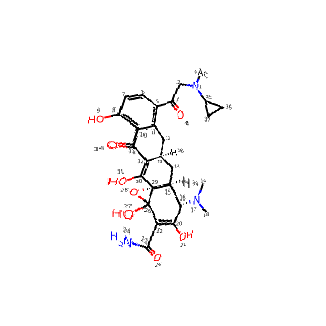 CC(=O)N(CC(=O)c1ccc(O)c2c1C[C@H]1C[C@H]3[C@H](N(C)C)C(O)=C(C(N)=O)C4(O)O[C@]34C(O)=C1C2=O)C1CC1